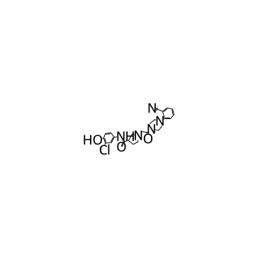 N#Cc1ccccc1N1CCN(C(=O)CN2CC[C@@H](C(=O)Nc3ccc(O)c(Cl)c3)C2)CC1